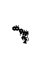 O=C(C1CC1)N1CC[C@@H](CN2C(=O)C3(CC3)N=C2c2ccc(-c3cnc4ccccc4c3)cc2F)C1